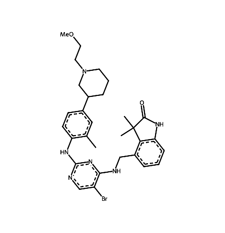 COCCN1CCCC(c2ccc(Nc3ncc(Br)c(NCc4cccc5c4C(C)(C)C(=O)N5)n3)c(C)c2)C1